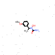 CCCCOc1cccc(C(C)N(O)C(N)=O)c1